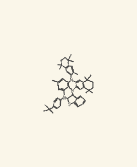 Cc1cc2c3c(c1)N(c1ccc(C(C)(C)C)cc1)C1Sc4ccccc4C1B3c1cc3c(cc1N2c1cc2c(cc1C)C(C)(C)CCC2(C)C)C(C)(C)CCC3(C)C